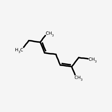 CCC(C)=CCC=C(C)CC